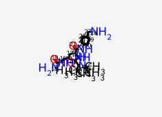 CC(C)C(NC(C)(C)C)C(=O)N[C@@H](CCCNC(N)=O)C(=O)Nc1ccc(CN)cc1